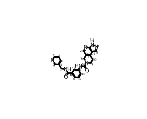 O=C(NCc1cccnc1)c1cccc(NC(=O)N2CCc3c(cnc4[nH]ncc34)C2)c1